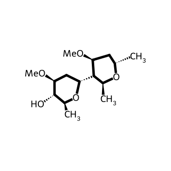 CO[C@H]1C[C@H](C)O[C@@H](C)C1[C@H]1C[C@H](OC)[C@@H](O)[C@H](C)O1